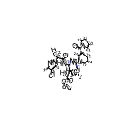 C=C(NC(=O)OC(C)(C)C)/C(=N\C(=C/C)N1CCC[C@@H](C(=O)N2CCCC2)C1)NC(=O)[C@@H](C)n1cc(Cl)cn1